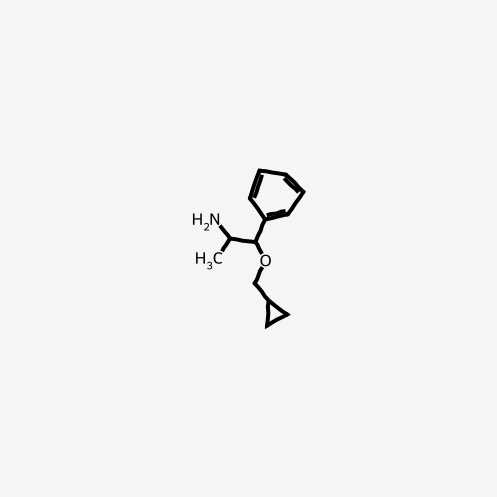 CC(N)C(OCC1CC1)c1ccccc1